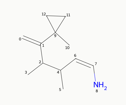 C=C(C(C)C(C)/C=C\N)C1(C)CC1